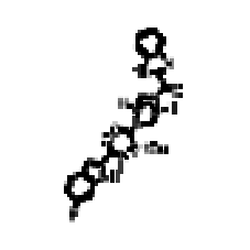 CC(C)(C)[C@H](NC(=O)c1cc2ccc(F)cc2[nH]1)C(=O)N1C[C@@H]2C[C@H]1CN2C(=O)c1nc2ccccc2[nH]1